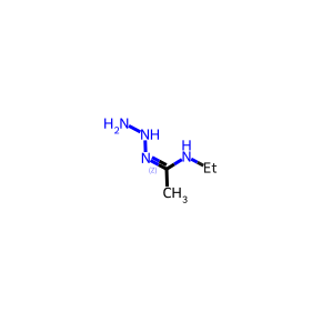 CCN/C(C)=N\NN